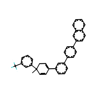 CC1(c2cccc(C(F)(F)F)c2)C=CC(c2cccc(-c3ccc(-c4ccc5ccccc5c4)cc3)c2)=CC1